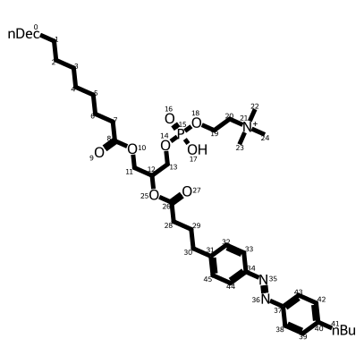 CCCCCCCCCCCCCCCCCC(=O)OCC(COP(=O)(O)OCC[N+](C)(C)C)OC(=O)CCCc1ccc(/N=N/c2ccc(CCCC)cc2)cc1